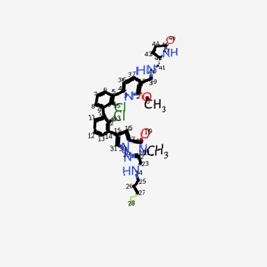 COc1nc(-c2cccc(-c3cccc(-c4cc5c(=O)n(C)c(CNCCCF)nn5c4)c3Cl)c2Cl)ccc1CNC[C@@H]1CCC(=O)N1